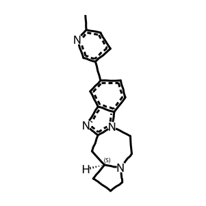 Cc1ccc(-c2ccc3c(c2)nc2n3CCN3CCC[C@H]3C2)cn1